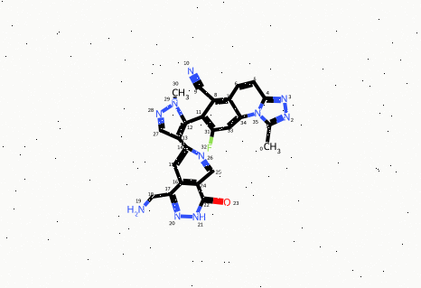 Cc1nnc2ccc3c(C#N)c(-c4c(-c5cc6c(CN)n[nH]c(=O)c6cn5)cnn4C)c(F)cc3n12